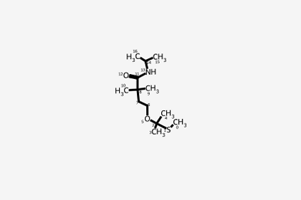 CSC(C)(C)OCCC(C)(C)C(=O)NC(C)C